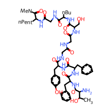 CCCCCC(NC(=O)CNC(=O)C(CCCC)NC(=O)C(CO)NC(=O)CNC(=O)CNC(=O)C(Cc1ccc(O)cc1)NC(=O)C(Cc1ccccc1)NC(=O)C(Cc1ccccc1)NC(=O)C(N)C(C)O)C(=O)NC